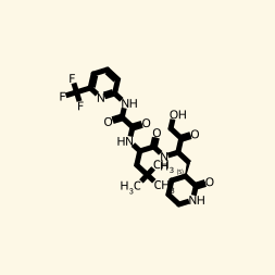 CC(C)(C)CC(NC(=O)C(=O)Nc1cccc(C(F)(F)F)n1)C(=O)NC(C[C@@H]1CCCNC1=O)C(=O)CO